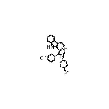 Brc1ccc(-n2c[n+]3ccc4c5ccccc5[nH]c4c3c2-c2ccccc2)cc1.[Cl-]